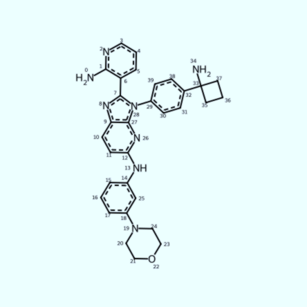 Nc1ncccc1-c1nc2ccc(Nc3cccc(N4CCOCC4)c3)nc2n1-c1ccc(C2(N)CCC2)cc1